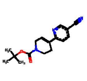 CC(C)(C)OC(=O)N1CC=C(c2ccc(C#N)cn2)CC1